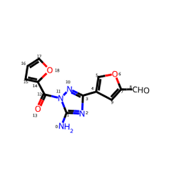 Nc1nc(-c2coc(C=O)c2)nn1C(=O)c1ccco1